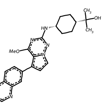 COc1nc(N[C@H]2CC[C@@H](C(C)(C)O)CC2)nn2ccc(-c3ccc4nccnc4c3)c12